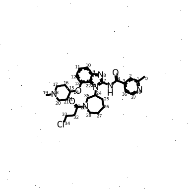 Cc1cc(C(=O)Nc2nc3cccc(OC4CCN(C)CC4)c3n2C2CCCCN(C(=O)CCCl)C2)ccn1